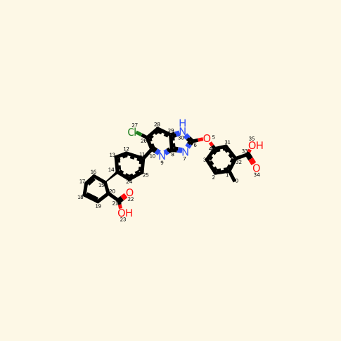 Cc1ccc(Oc2nc3nc(-c4ccc([C@@H]5C=CC=CC5C(=O)O)cc4)c(Cl)cc3[nH]2)cc1C(=O)O